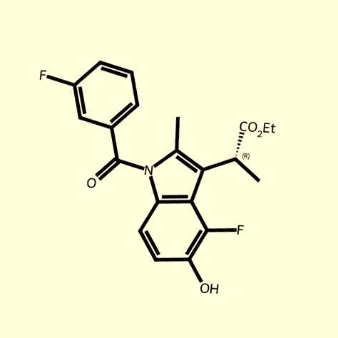 CCOC(=O)[C@H](C)c1c(C)n(C(=O)c2cccc(F)c2)c2ccc(O)c(F)c12